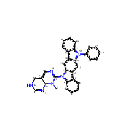 CN1C(n2c3ccccc3c3cc4c(cc32)c2ccccc2n4-c2ccccc2)=NC=C2CNC=NC21